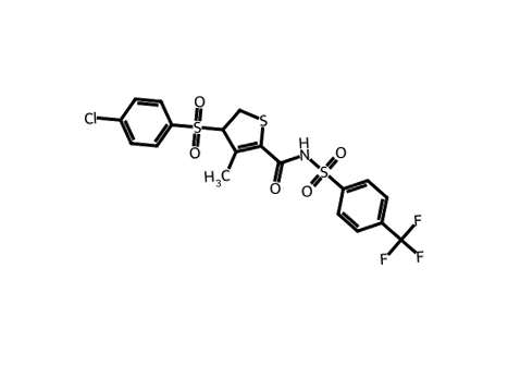 CC1=C(C(=O)NS(=O)(=O)c2ccc(C(F)(F)F)cc2)SCC1S(=O)(=O)c1ccc(Cl)cc1